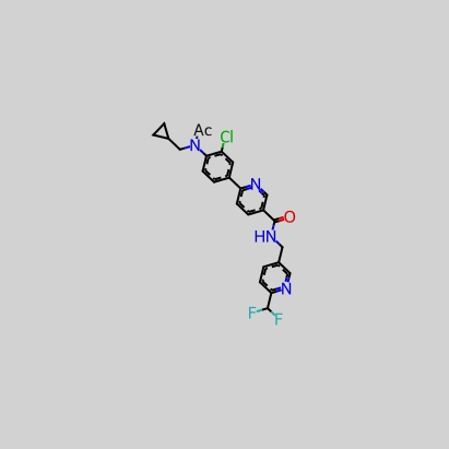 CC(=O)N(CC1CC1)c1ccc(-c2ccc(C(=O)NCc3ccc(C(F)F)nc3)cn2)cc1Cl